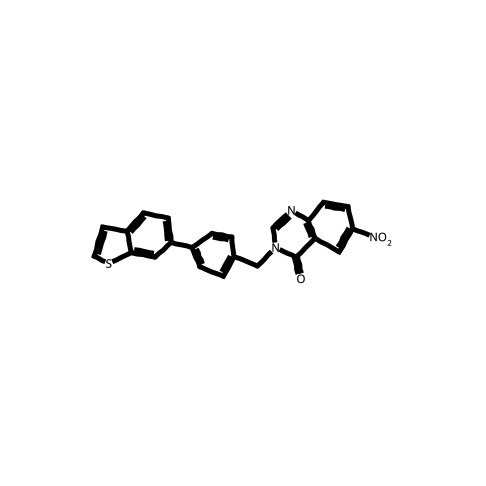 O=c1c2cc([N+](=O)[O-])ccc2ncn1Cc1ccc(-c2ccc3ccsc3c2)cc1